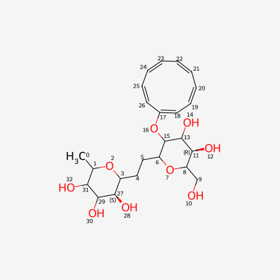 CC1OC(CCC2OC(CO)[C@H](O)C(O)C2Oc2ccccccccc2)[C@@H](O)C(O)C1O